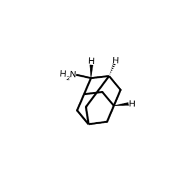 N[C@H]1C2CC3C[C@H](C2)C[C@H]1C3